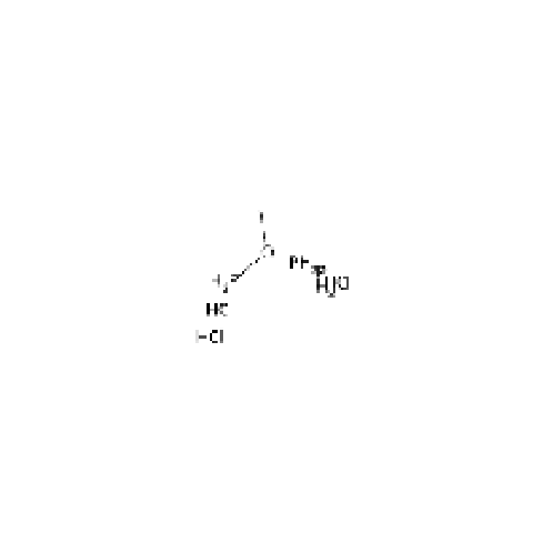 COP.Cl.Cl.Cl.P.P